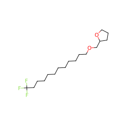 FC(F)(F)CCCCCCCCCCCOCC1CCCO1